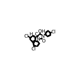 C[C@@]1(c2cccc(Cl)c2)C(O)N(c2ccc(Cl)cc2)C(=O)N1c1ccc(Cl)cc1